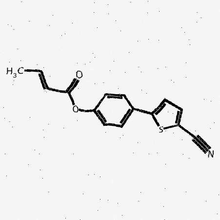 CC=CC(=O)Oc1ccc(-c2ccc(C#N)s2)cc1